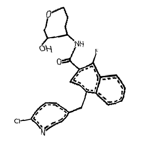 O=C(NC1CCOCC1O)c1cc(Cc2ccc(Cl)nc2)c2ccccc2c1F